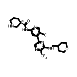 O=C(Nc1cc(-c2cnc(C(F)(F)F)c(NCC3CCOCC3)n2)c(Cl)cn1)[C@@H]1CCCNC1